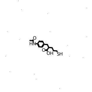 CC(=O)Nc1ccc(CC(CCCS)C(=O)O)cc1